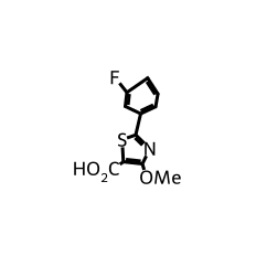 COc1nc(-c2cccc(F)c2)sc1C(=O)O